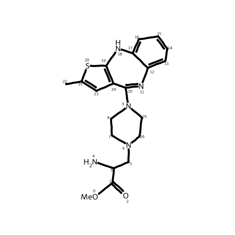 COC(=O)C(N)CN1CCN(C2=Nc3ccccc3Nc3sc(C)cc32)CC1